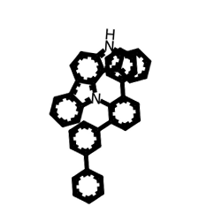 c1ccc(-c2cccc(-c3cccc(-c4ccccc4)c3-n3c4ccccc4c4ccc5[nH]c6ccccc6c5c43)c2)cc1